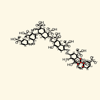 Nc1c(N=Nc2ccc3c(O)c(N=Nc4ccc5c(O)c(/N=N\c6ccc(/N=N\c7ccc(S(=O)(=O)O)cc7)cc6S(=O)(=O)O)c(S(=O)(=O)O)cc5c4S(=O)(=O)O)c(S(=O)(=O)O)cc3c2S(=O)(=O)O)cc(S(=O)(=O)O)c2cc(S(=O)(=O)O)c(/N=N\c3ccc([N+](=O)[O-])cc3S(=O)(=O)O)c(O)c12